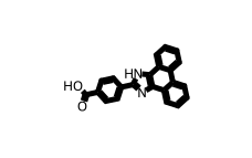 O=C(O)c1ccc(-c2nc3c4ccccc4c4ccccc4c3[nH]2)cc1